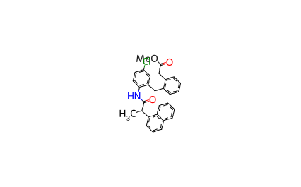 COC(=O)Cc1ccccc1Cc1cc(Cl)ccc1NC(=O)C(C)c1cccc2ccccc12